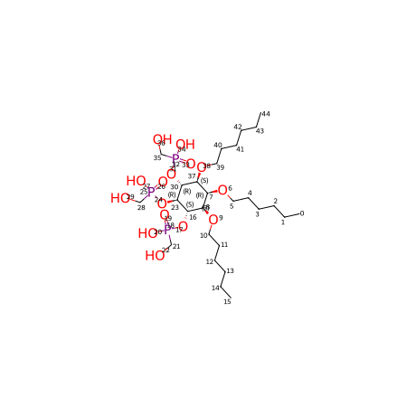 CCCCCCO[C@H]1[C@@H](OCCCCCC)[C@H](OP(=O)(O)CO)[C@@H](OP(=O)(O)CO)[C@H](OP(=O)(O)CO)[C@H]1OCCCCCC